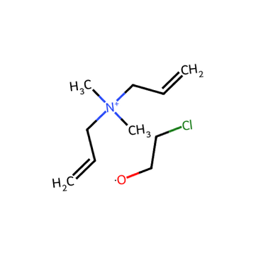 C=CC[N+](C)(C)CC=C.[O]CCCl